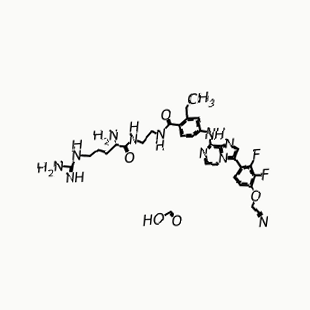 CCc1cc(Nc2nccn3c(-c4ccc(OCC#N)c(F)c4F)cnc23)ccc1C(=O)NCCNC(=O)[C@@H](N)CCCNC(=N)N.O=CO